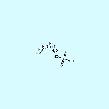 N.N.O.O.O.O.O=S(=O)(O)O